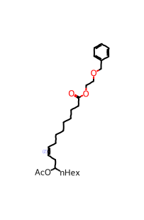 CCCCCCC(C/C=C\CCCCCCCC(=O)OCCOCc1ccccc1)OC(C)=O